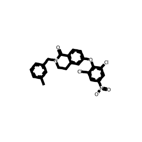 Cc1cccc(CN2CCc3cc(Oc4c(Cl)cc([N+](=O)[O-])cc4Cl)ccc3C2=O)c1